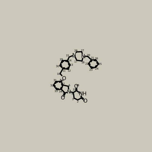 O=C1CCC(N2Cc3c(OCc4ccc(CN5CCN(Cc6ccccc6)CC5)cc4)cccc3C2=O)C(=O)N1